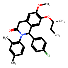 CC[C@@H](C)Oc1cc2c(cc1OC)CC(=O)N(c1ccc(C)cc1C)C2c1ccc(Cl)cc1